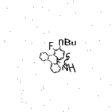 CCCCc1ccc(F)c(-c2ccccc2-c2ccccc2)c1F.N=C=S